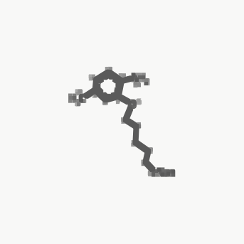 CCCCCCCCCCCCCCOc1cc(C)ccc1N